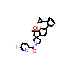 CC1(O)CC2(CCN(C(=O)c3ccc(F)cn3)C2)c2ccc(-c3ccccc3C3CC3)cc21